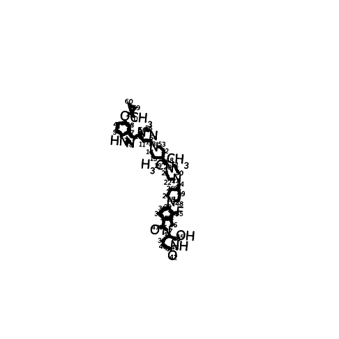 CC1(Oc2ccc3[nH]nc(-c4cc(N5CCC(C(C)(C)N6CCN(CC7CCN(c8ccc9c(c8F)CN(C8CCC(=O)NC8O)C9=O)CC7)CC6)CC5)ncn4)c3c2)CC1